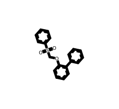 O=S(=O)(COc1ccccc1-c1ccccc1)c1ccccc1